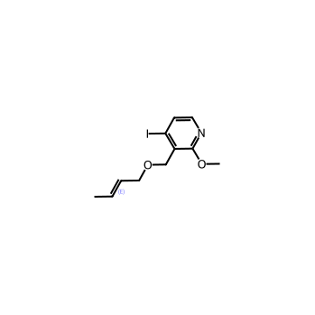 C/C=C/COCc1c(I)ccnc1OC